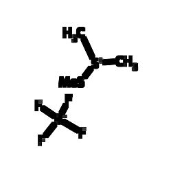 CS[S+](C)C.F[B-](F)(F)F